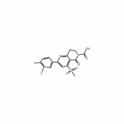 CS(=O)(=O)c1cc(-c2ccc(F)c(F)c2)nc2c1C(=O)N(C(=O)O)CC2